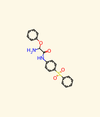 NC(Oc1ccccc1)C(=O)Nc1ccc(S(=O)(=O)c2ccccc2)cc1